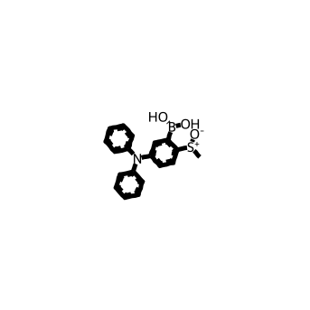 C[S+]([O-])c1ccc(N(c2ccccc2)c2ccccc2)cc1B(O)O